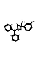 CC(C)c1cccc(C2(O)CN(C(c3ccccc3)c3ccccc3)C2)c1